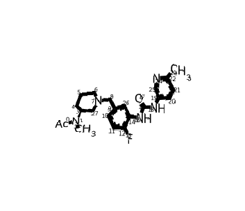 CC(=O)N(C)[C@H]1CCCN(Cc2ccc(F)c(NC(=O)Nc3ccc(C)nc3)c2)C1